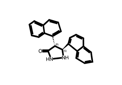 O=C1NN[C@H](c2cccc3ccccc23)[C@H]1c1cccc2ccccc12